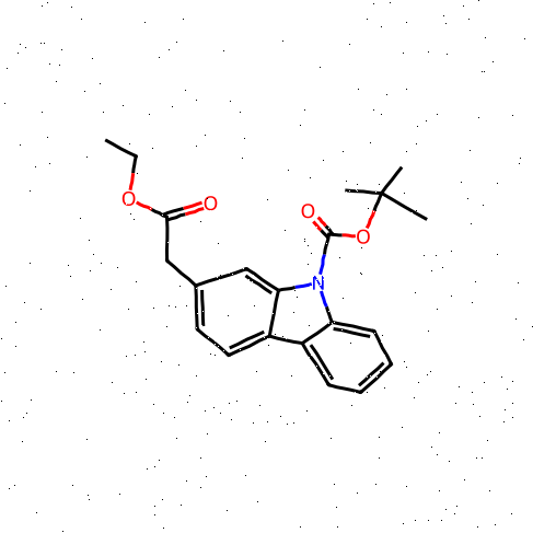 CCOC(=O)Cc1ccc2c3ccccc3n(C(=O)OC(C)(C)C)c2c1